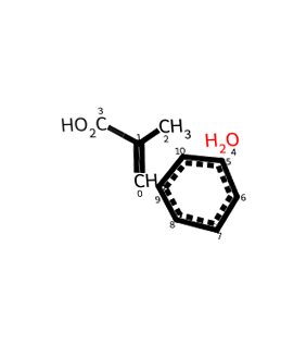 C=C(C)C(=O)O.O.c1ccccc1